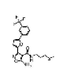 CSCCCNC(=O)c1c(-c2ccc(-c3cccc(C(F)(F)F)c3)o2)noc1N